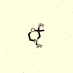 CC(C)N1CCOC(C)(C(C)C)C1